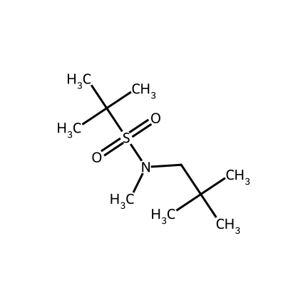 CN(CC(C)(C)C)S(=O)(=O)C(C)(C)C